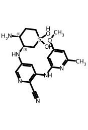 COc1cc(C)nc(Nc2cc(N[C@@H]3CS(O)(O)CC[C@@H]3N)cnc2C#N)c1